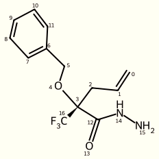 C=CC[C@@](OCc1ccccc1)(C(=O)NN)C(F)(F)F